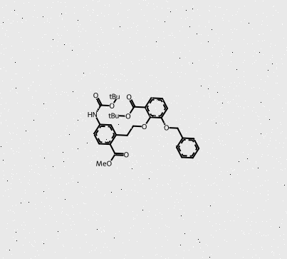 COC(=O)c1ccc(NC(=O)OC(C)(C)C)cc1CCOc1c(OCc2ccccc2)cccc1C(=O)OC(C)(C)C